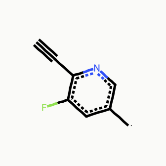 C#Cc1ncc([CH2])cc1F